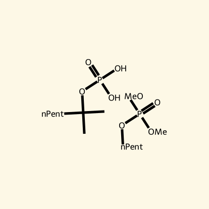 CCCCCC(C)(C)OP(=O)(O)O.CCCCCOP(=O)(OC)OC